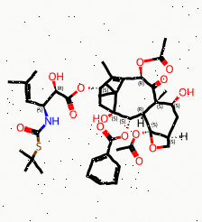 CC(=O)O[C@H]1C(=O)[C@@]2(C)[C@H]([C@H](OC(=O)c3ccccc3)[C@]3(O)C[C@H](OC(=O)[C@H](O)[C@H](C=C(C)C)NC(=O)SC(C)(C)C)C(C)=C1C3(C)C)[C@]1(OC(C)=O)OC[C@@H]1C[C@@H]2O